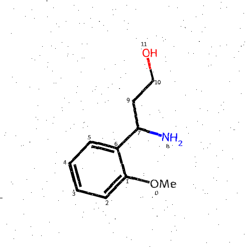 COc1c[c]ccc1C(N)CCO